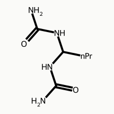 CCCC(NC(N)=O)NC(N)=O